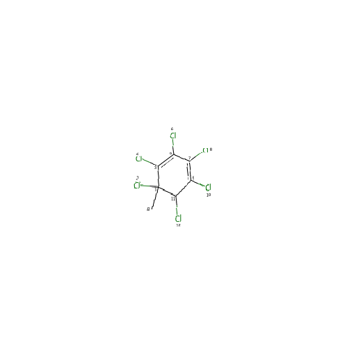 CC1(Cl)C(Cl)=C(Cl)C(Cl)=C(Cl)C1Cl